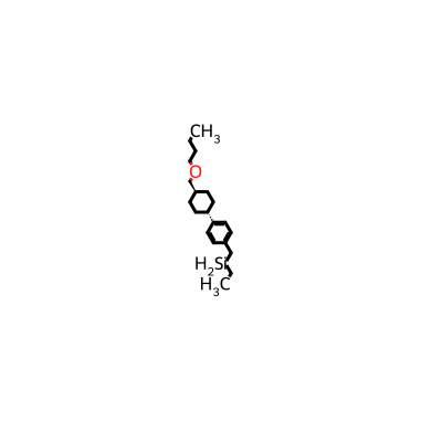 CCCCOC[C@H]1CC[C@H](c2ccc(C[SiH2]CC)cc2)CC1